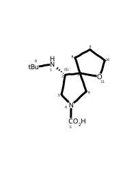 CC(C)(C)N[C@H]1CN(C(=O)O)CC12CCCO2